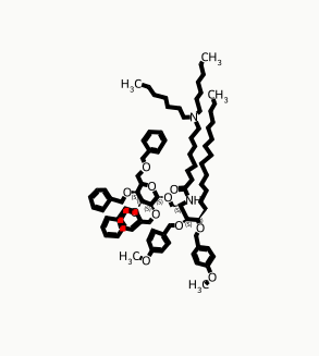 CCCCCCCCCCCCCC[C@@H](OCc1ccc(OC)cc1)[C@@H](OCc1ccc(OC)cc1)[C@H](CO[C@H]1OC(COCc2ccccc2)[C@H](OCc2ccccc2)[C@@H](OCc2ccccc2)[C@@H]1OCc1ccccc1)NC(=O)CCCCCCCN(CCCCCCC)CCCCCCC